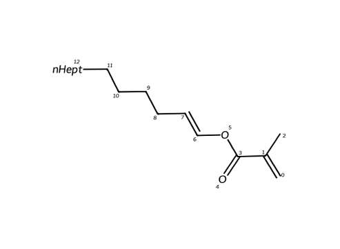 C=C(C)C(=O)OC=CCCCCCCCCCCC